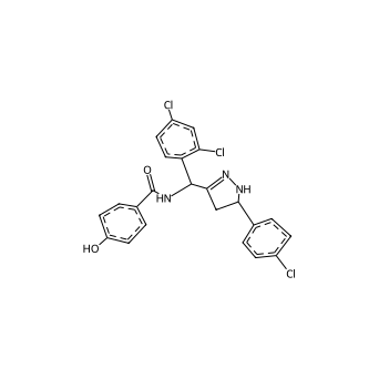 O=C(NC(C1=NNC(c2ccc(Cl)cc2)C1)c1ccc(Cl)cc1Cl)c1ccc(O)cc1